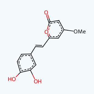 COc1cc(C=Cc2ccc(O)c(O)c2)oc(=O)c1